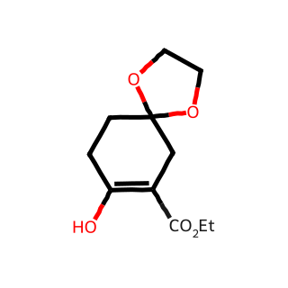 CCOC(=O)C1=C(O)CCC2(C1)OCCO2